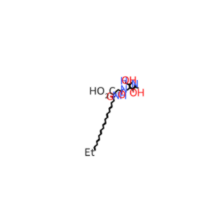 CCC=CCC=CCC=CCC=CCC=CCC=CCCC(=O)NC(CC(=O)NCc1c(CO)cnc(C)c1O)C(=O)O